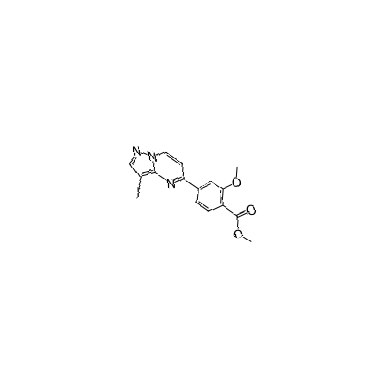 COC(=O)c1ccc(-c2ccn3ncc(I)c3n2)cc1OC